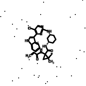 C=CC(=O)NC1(C(=O)N[C@H]2CCC[C@@H](Nc3ncc(Cl)c(-c4c[nH]c5ccccc45)n3)C2)CC1(C)F